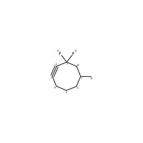 CC1CCCC#CC(F)(F)C1